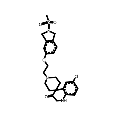 CS(=O)(=O)N1Cc2ccc(OCCN3CCC4(CC3)C(=O)CNc3ccc(Cl)cc34)cc2C1